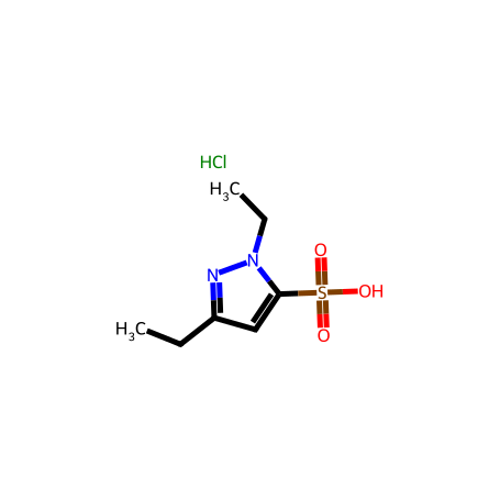 CCc1cc(S(=O)(=O)O)n(CC)n1.Cl